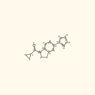 O=C(C1CC1)N1CCc2cc(-c3cs[c]n3)ccc21